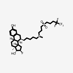 CN(CCCCC[C@@H]1Cc2cc(O)ccc2[C@H]2CC[C@]3(C)[C@@H](O)[C@H](F)C[C@H]3[C@H]12)CCCS(=O)(=O)CCCC(F)(F)C(F)(F)F